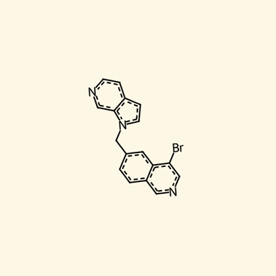 Brc1cncc2ccc(Cn3ccc4ccncc43)cc12